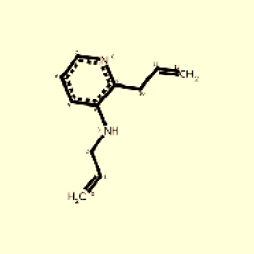 C=CCNc1cccnc1CC=C